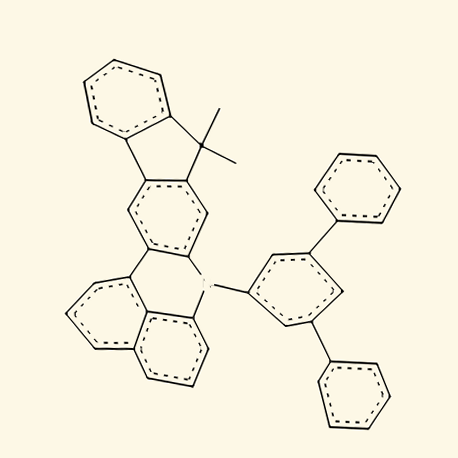 CC1(C)c2ccccc2-c2cc3c(cc21)N(c1cc(-c2ccccc2)cc(-c2ccccc2)c1)c1cccc2cccc-3c12